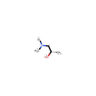 CCN(C)C[C@H](C)O